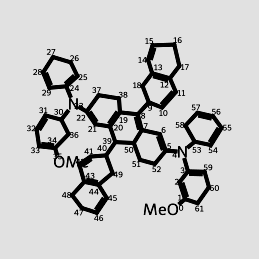 COC1=CC(N(C2=CC3=C(C4C=CC5=C(C=CCC5)C4)C4=C(C=C(N(C5=CCCC=C5)C5C=CC=C(OC)C5)CC4)C(C4C=CC5=C(C=CCC5)C4)C3CC2)C2C=CC=CC2)=CCC1